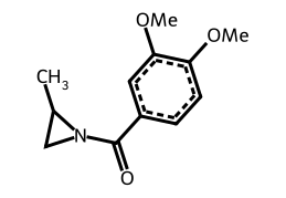 COc1ccc(C(=O)N2CC2C)cc1OC